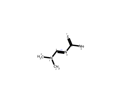 CN(C)/C=N/C([NH])=S